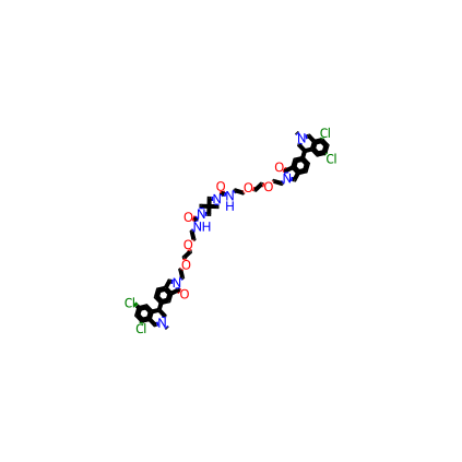 CN1Cc2c(Cl)cc(Cl)cc2C(c2ccc3c(c2)C(=O)N(CCOCCOCCNC(=O)N2CC4(C2)CN(C(=O)NCCOCCOCCN2Cc5ccc(C6CN(C)Cc7c(Cl)cc(Cl)cc76)cc5C2=O)C4)C3)C1